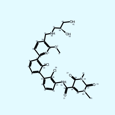 COc1nc(-c2cccc(-c3cccc(NC(=O)c4cn(C)c(=O)n(C)c4=O)c3Cl)c2Cl)ccc1CNC[C@H](O)CO